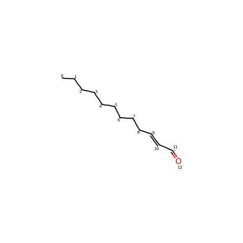 CCCCCCCCCC=C[C]=O